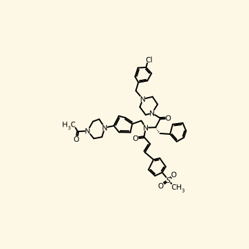 CC(=O)N1CCN(c2ccc(CN(C(=O)/C=C/c3ccc(S(C)(=O)=O)cc3)[C@@H](Cc3ccccc3)C(=O)N3CCN(Cc4ccc(Cl)cc4)CC3)cc2)CC1